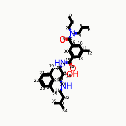 CCCN(CCC)C(=O)c1cc(C)cc(C(=O)N[C@@H](Cc2cccc(C)c2)[C@H](O)CNCCC(C)C)c1